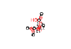 CCOC1(CC)OC(CCCc2c(O)cc(OCc3ccccc3)cc2OCc2ccccc2)C(c2ccc(OCc3ccccc3)c(OCc3ccccc3)c2)O1